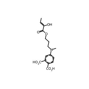 CC=C(O)C(=O)OCCCN(C)c1ccc(C(=O)O)c(C(=O)O)c1